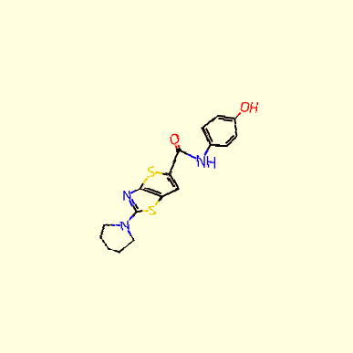 O=C(Nc1ccc(O)cc1)c1cc2sc(N3CCCCC3)nc2s1